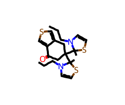 CCCN1C=CSC1(C)C1(C2(C)SC=CN2CCC)CC(=O)c2cscc2C1